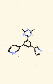 Cc1nc(C)nc(-c2cc(-c3cccnc3)cc(-c3cccnc3)c2)n1